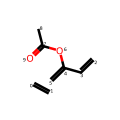 C=C.C=CC(=C)OC(C)=O